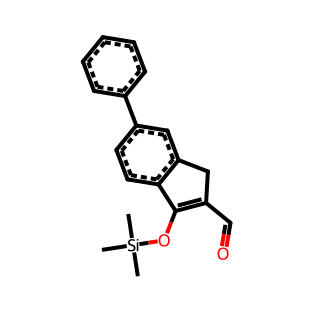 C[Si](C)(C)OC1=C(C=O)Cc2cc(-c3ccccc3)ccc21